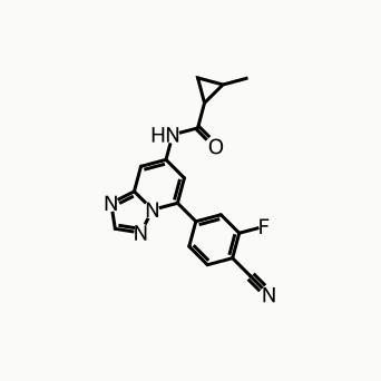 CC1CC1C(=O)Nc1cc(-c2ccc(C#N)c(F)c2)n2ncnc2c1